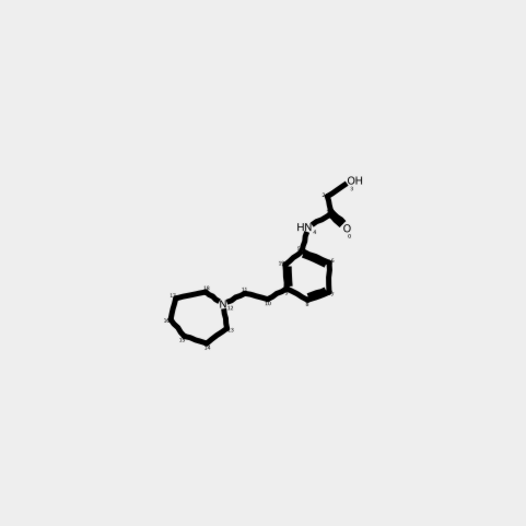 O=C(CO)Nc1cccc(CCN2CCCCCC2)c1